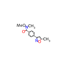 CON(C)C(=O)c1ccc(-c2cc(C)on2)cc1